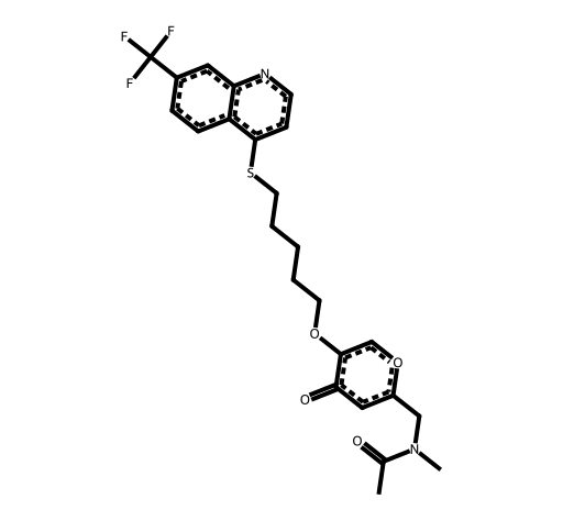 CC(=O)N(C)Cc1cc(=O)c(OCCCCCSc2ccnc3cc(C(F)(F)F)ccc23)co1